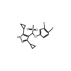 CS(=O)(=O)C(Oc1ccc(F)c(F)c1)c1c(C2CC2)n[nH]c1C1CC1